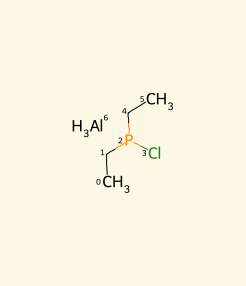 CCP(Cl)CC.[AlH3]